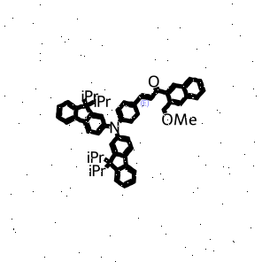 COCc1cc2ccccc2cc1C(=O)/C=C/C1=CC=C(N(c2ccc3c(c2)C(C(C)C)(C(C)C)c2ccccc2-3)c2ccc3c(c2)C(C(C)C)(C(C)C)c2ccccc2-3)CC1